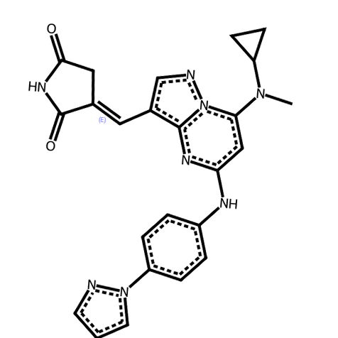 CN(c1cc(Nc2ccc(-n3cccn3)cc2)nc2c(/C=C3\CC(=O)NC3=O)cnn12)C1CC1